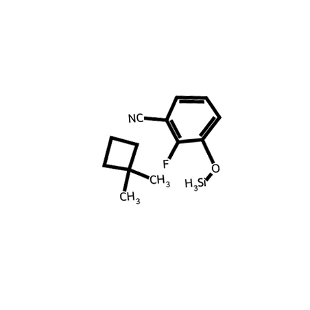 CC1(C)CCC1.N#Cc1cccc(O[SiH3])c1F